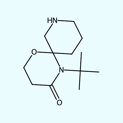 CC(C)(C)N1C(=O)CCOC12CCCNC2